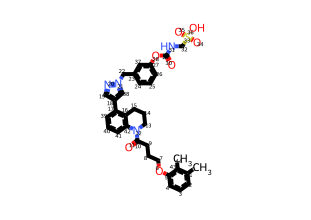 Cc1cccc(OCCCC(=O)N2CCCc3c(-c4cnn(Cc5cccc(OC(=O)NCS(=O)(=O)O)c5)c4)cccc32)c1C